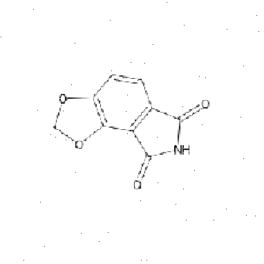 O=C1NC(=O)c2c1ccc1c2OCO1